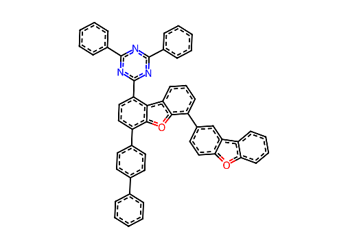 c1ccc(-c2ccc(-c3ccc(-c4nc(-c5ccccc5)nc(-c5ccccc5)n4)c4c3oc3c(-c5ccc6oc7ccccc7c6c5)cccc34)cc2)cc1